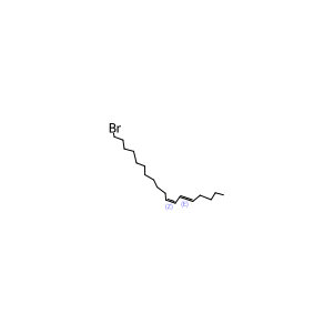 CCCC/C=C/C=C\CCCCCCCCCCBr